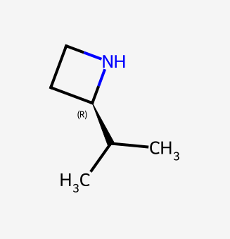 CC(C)[C@H]1CCN1